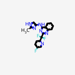 Cc1nc(Nc2nc(C(F)(F)c3ccc(F)cn3)nc3ccccc23)c[nH]1